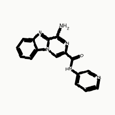 Nc1nc(C(=O)Nc2cccnc2)cn2c1nc1ccccc12